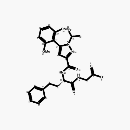 CCC(=O)CNC(=O)[C@H](CCc1ccccc1)NC(=O)c1cc(-c2c(OC)cccc2OC)n(C(C)C(C)C)n1